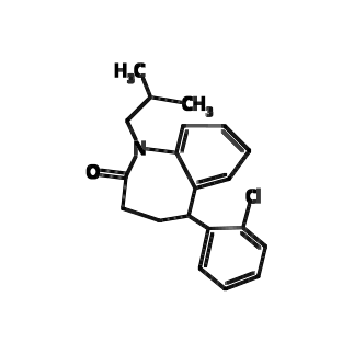 CC(C)CN1C(=O)CCC(c2ccccc2Cl)c2ccccc21